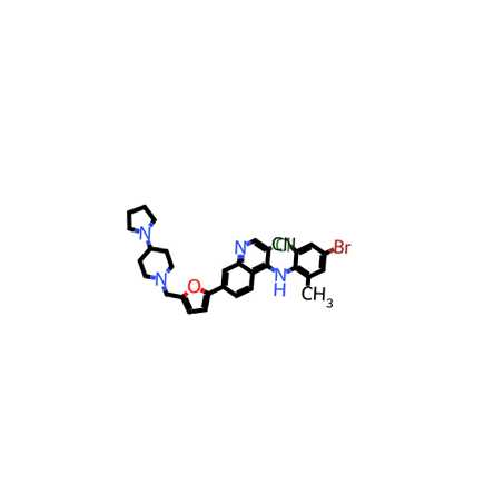 Cc1cc(Br)cc(Cl)c1Nc1c(C#N)cnc2cc(-c3ccc(CN4CCC(N5CCCC5)CC4)o3)ccc12